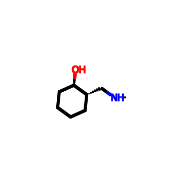 [NH]C[C@@H]1CCCC[C@H]1O